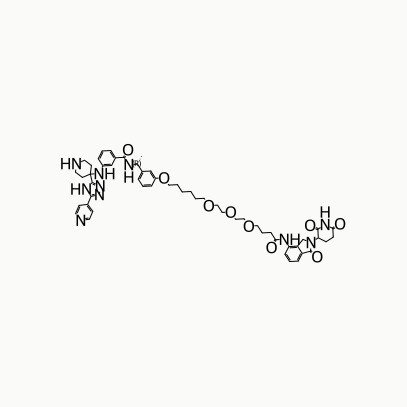 C[C@@H](NC(=O)c1cccc(NC2(c3nnc(-c4ccncc4)[nH]3)CCNCC2)c1)c1cccc(OCCCCCCOCCOCCOCCCC(=O)Nc2cccc3c2CN(C2CCC(=O)NC2=O)C3=O)c1